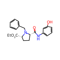 CCOC(=O)[C@H]1CC[C@@H](C(=O)Nc2cccc(O)c2)N1Cc1ccccc1